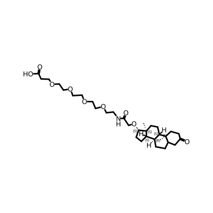 C[C@]12CC[C@H]3[C@@H](CCC4CC(=O)CC[C@@]43C)[C@@H]1CC[C@@H]2OCC(=O)NCCOCCOCCOCCOCCC(=O)O